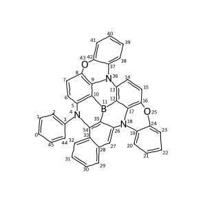 c1ccc(N2c3ccc4c5c3B3c6c(ccc7c6N(c6ccccc6O7)c6cc7ccccc7c2c63)N5c2ccccc2O4)cc1